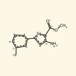 COC(=O)c1sc(-c2cccc(F)c2)cc1N